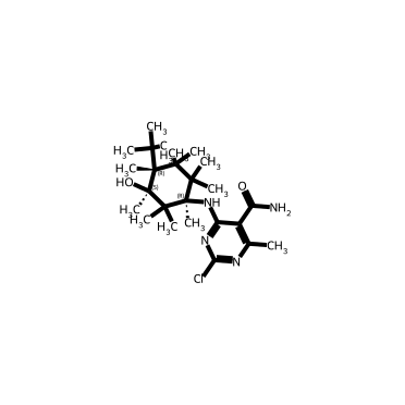 Cc1nc(Cl)nc(N[C@]2(C)C(C)(C)C(C)(C)[C@@](C)(C(C)(C)C)[C@](C)(O)C2(C)C)c1C(N)=O